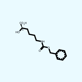 O=C(NCCCC[C@@H](O)C(=O)O)OCc1ccccc1